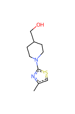 Cc1csc(N2CCC(CO)CC2)n1